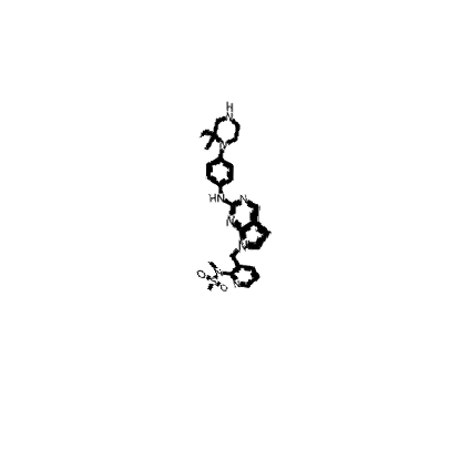 CN(c1ncccc1Cn1ccc2cnc(Nc3ccc(N4CCNCC4(C)C)cc3)nc21)S(C)(=O)=O